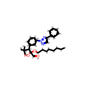 CCCCCCCCOC(O)(C=O)C(c1cccc(-n2ncc(-c3ccccc3)n2)c1)C(C)(C)C